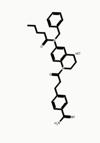 CCCCC(=O)N(Cc1ccccc1)c1ccc2c(c1)CCCN2C(=O)CCc1ccc(C(=N)N)cc1.Cl